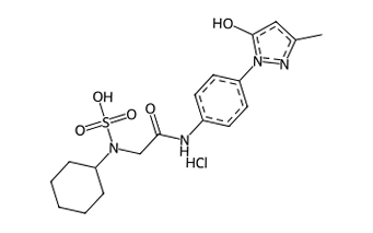 Cc1cc(O)n(-c2ccc(NC(=O)CN(C3CCCCC3)S(=O)(=O)O)cc2)n1.Cl